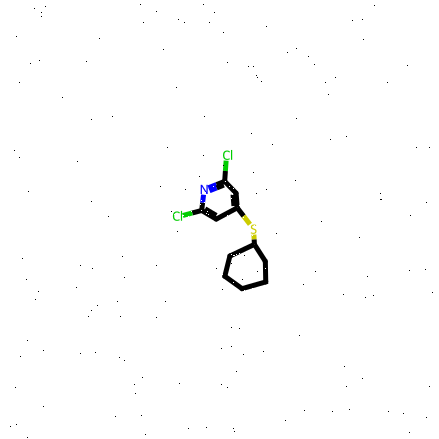 Clc1cc(SC2CCCCC2)cc(Cl)n1